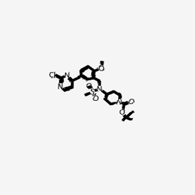 COc1ccc(-c2ccnc(Cl)n2)cc1CN(C1CCN(C(=O)OC(C)(C)C)CC1)S(C)(=O)=O